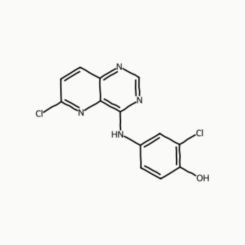 Oc1ccc(Nc2ncnc3ccc(Cl)nc23)cc1Cl